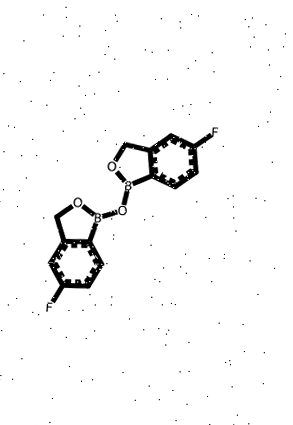 Fc1ccc2c(c1)COB2OB1OCc2cc(F)ccc21